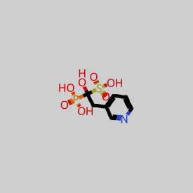 O=P(O)(O)C(O)(Cc1cccnc1)S(=O)(=O)O